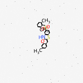 Cc1ccc(/C=C2/Sc3ccc(S(=O)(=O)Cc4c(C)cccc4C)cc3NC2=O)cc1